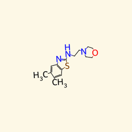 Cc1cc2nc(NCCN3CCOCC3)sc2cc1C